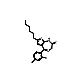 CCCCCCc1cc2c(s1)NC(=O)CN=C2c1ccc(C)cc1C